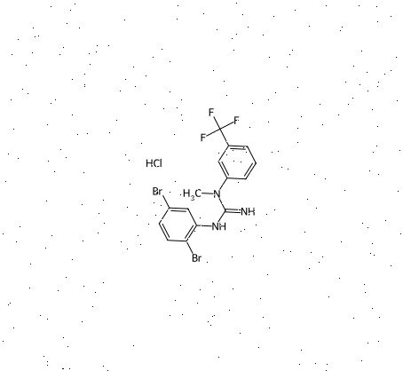 CN(C(=N)Nc1cc(Br)ccc1Br)c1cccc(C(F)(F)F)c1.Cl